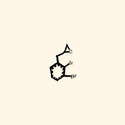 Brc1[c]ccc(CC2CO2)c1Br